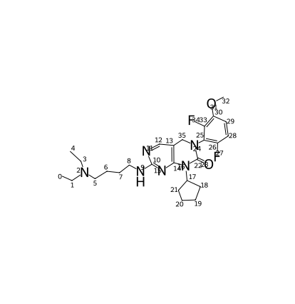 CCN(CC)CCCCNc1ncc2c(n1)N(C1CCCC1)C(=O)N(c1c(F)ccc(OC)c1F)C2